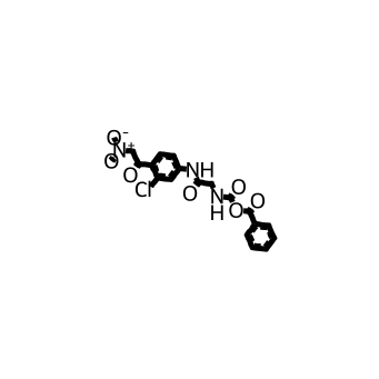 O=C(CNC(=O)OC(=O)c1ccccc1)Nc1ccc(C(=O)C[N+](=O)[O-])c(Cl)c1